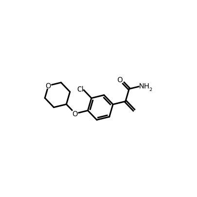 C=C(C(N)=O)c1ccc(OC2CCOCC2)c(Cl)c1